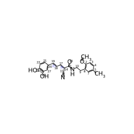 COc1ccc(C)cc1CCNC(=O)/C(C#N)=C/C=C/c1ccc(O)c(O)c1